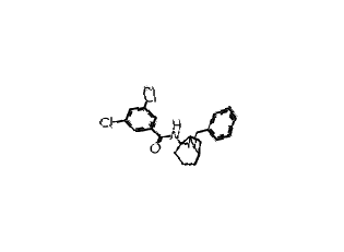 O=C(NC12CCCC(CC1)N2Cc1ccccc1)c1cc(Cl)cc(Cl)c1